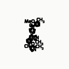 COc1c(C)cccc1C(=O)N1CCN(C(Cc2ccc(C#N)c(Oc3cccnc3C)c2)c2cnc(C)[nH]2)CC1